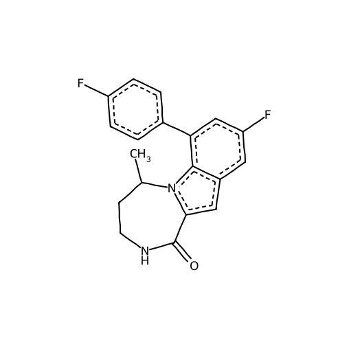 CC1CCNC(=O)c2cc3cc(F)cc(-c4ccc(F)cc4)c3n21